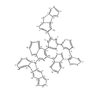 c1ccc(-c2cccc(-c3nc(-c4ccc5sc6ccccc6c5c4)nc(-c4c(-c5cccc6ccccc56)cc(-n5c6ccccc6c6cc7ccccc7cc65)c5ccccc45)n3)c2)cc1